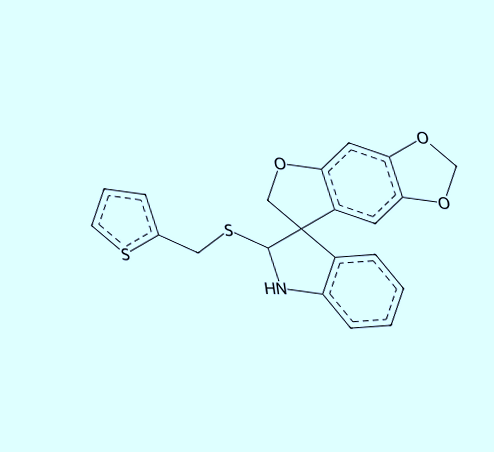 c1csc(CSC2Nc3ccccc3C23COc2cc4c(cc23)OCO4)c1